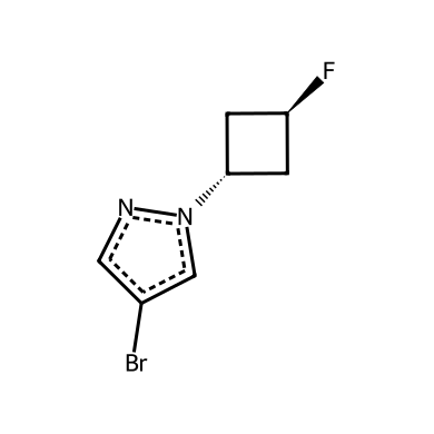 F[C@H]1C[C@H](n2cc(Br)cn2)C1